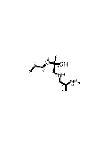 CCCOC(C)(O)CNCC(C)N